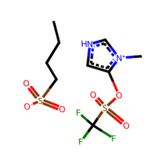 CCCCS(=O)(=O)[O-].C[n+]1c[nH]cc1OS(=O)(=O)C(F)(F)F